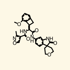 COc1cccc2c1C(=C(NC(=O)c1conc1C)C(=O)Nc1ccc3c(c1)NC(=O)C31CCOCC1)C2